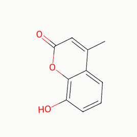 Cc1cc(=O)oc2c(O)cccc12